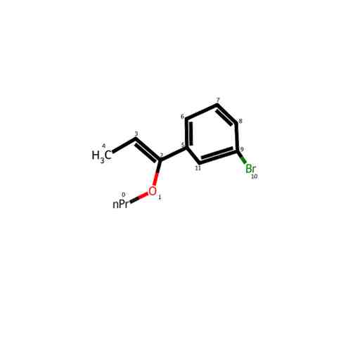 [CH2]CCOC(=CC)c1cccc(Br)c1